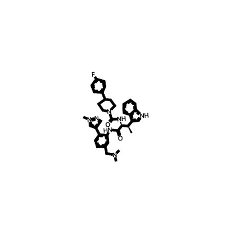 C[C@H](c1c[nH]c2ccccc12)[C@@H](NC(=O)N1CCC(c2ccc(F)cc2)CC1)C(=O)Nc1cc(CN(C)C)ccc1-c1cnn(C)c1